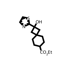 CCOC(=O)C1CCC2(CC1)CC(O)(c1nccs1)C2